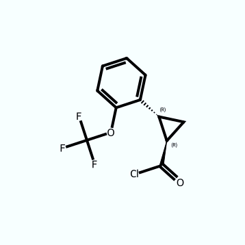 O=C(Cl)[C@@H]1C[C@H]1c1ccccc1OC(F)(F)F